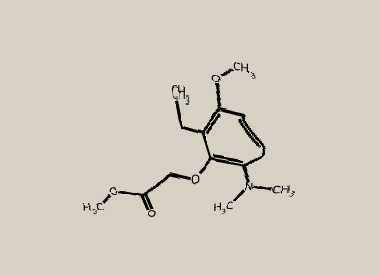 CCc1c(OC)ccc(N(C)C)c1OCC(=O)OC